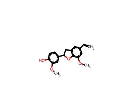 C=Cc1cc2c(c(OC)c1)OC(c1ccc(O)c(OC)c1)C2